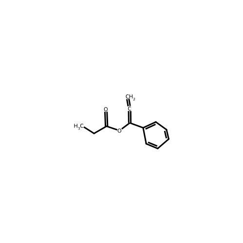 C=C=C(OC(=O)CC)c1ccccc1